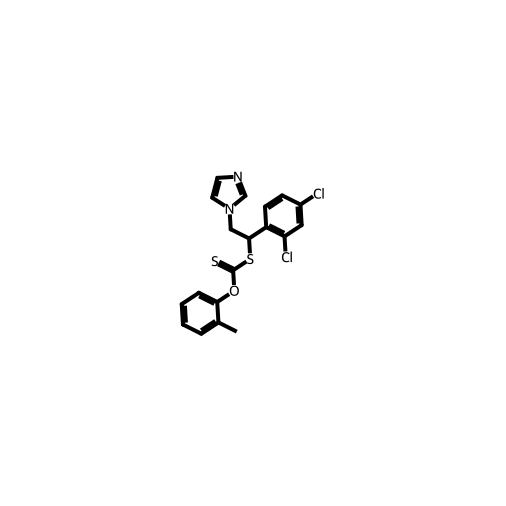 Cc1ccccc1OC(=S)SC(Cn1ccnc1)c1ccc(Cl)cc1Cl